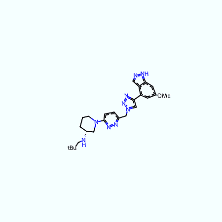 COc1cc(-c2cn(Cc3ccc(N4CCC[C@@H](NCC(C)(C)C)C4)nn3)nn2)c2cn[nH]c2c1